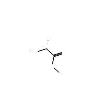 CC[C@@H](NC)C(=O)OC(C)C